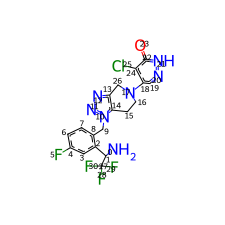 NC(c1cc(F)ccc1Cn1nnc2c1CCN(c1cn[nH]c(=O)c1Cl)C2)C(F)(F)F